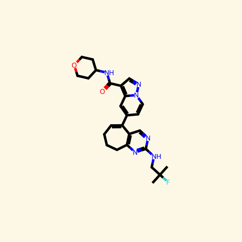 CC(C)(F)CNc1ncc2c(n1)CCCC=C2c1ccn2ncc(C(=O)NC3CCOCC3)c2c1